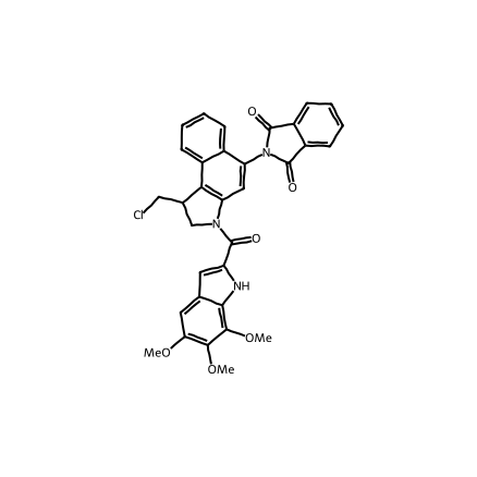 COc1cc2cc(C(=O)N3CC(CCl)c4c3cc(N3C(=O)c5ccccc5C3=O)c3ccccc43)[nH]c2c(OC)c1OC